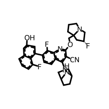 N#Cc1c(OCC23CCCN2C[C@H](F)C3)nc2c(F)c(-c3cc(O)cc4cccc(F)c34)ccc2c1N1CC2CCC(C1)N2